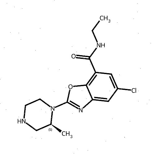 CCNC(=O)c1cc(Cl)cc2nc(N3CCNC[C@@H]3C)oc12